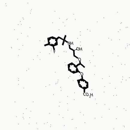 Cc1ccc(CC(C)(C)NC[C@H](O)COC(C)c2ccccc2Oc2ccc(C(=O)O)cc2)cc1F